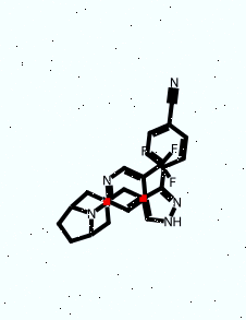 N#Cc1ccc(-c2n[nH]cc2CN2CC3CCC(C2)N3c2ccc(C(F)(F)F)cn2)cc1